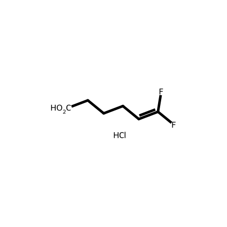 Cl.O=C(O)CCCC=C(F)F